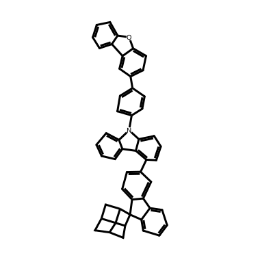 c1ccc2c(c1)-c1cc(-c3cccc4c3c3ccccc3n4-c3ccc(-c4ccc5oc6ccccc6c5c4)cc3)ccc1C21C2CC3CC4CC1C342